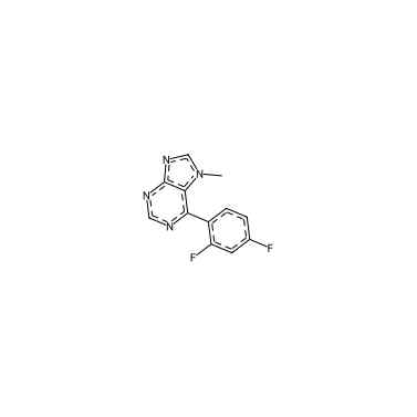 Cn1cnc2ncnc(-c3ccc(F)cc3F)c21